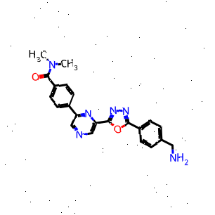 CN(C)C(=O)c1ccc(-c2cncc(-c3nnc(-c4ccc(CN)cc4)o3)n2)cc1